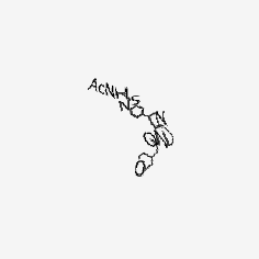 CC(=O)Nc1nc2ccc(-c3cnc4c(c3)N(C(=O)CC3CCOCC3)CC4)cc2s1